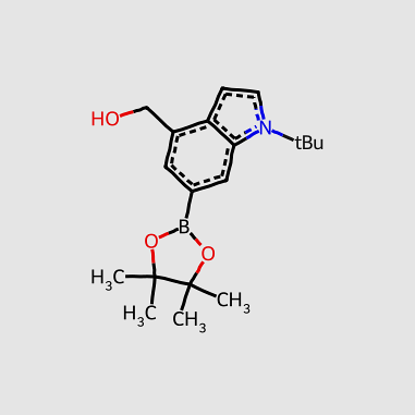 CC(C)(C)n1ccc2c(CO)cc(B3OC(C)(C)C(C)(C)O3)cc21